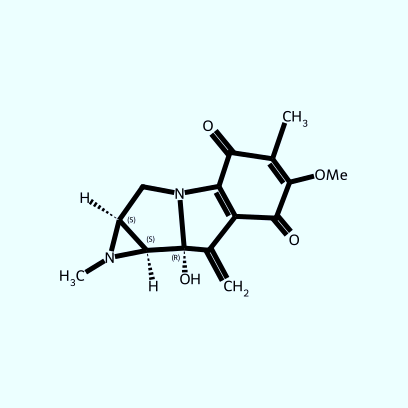 C=C1C2=C(C(=O)C(C)=C(OC)C2=O)N2C[C@H]3[C@H](N3C)[C@]12O